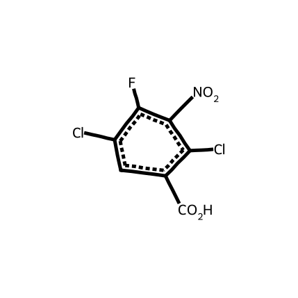 O=C(O)c1cc(Cl)c(F)c([N+](=O)[O-])c1Cl